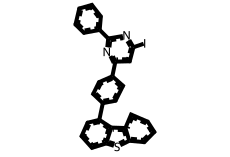 Ic1cc(-c2ccc(-c3cccc4sc5ccccc5c34)cc2)nc(-c2ccccc2)n1